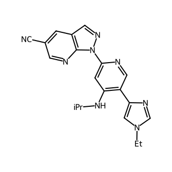 CCn1cnc(-c2cnc(-n3ncc4cc(C#N)cnc43)cc2NC(C)C)c1